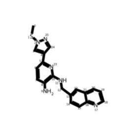 CSn1cc(-c2ccc(N)c(NCc3ccc4ncccc4c3)n2)cn1